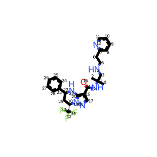 CC(C)(CNCCc1ccccn1)NC(=O)c1cnn2c1NC(c1ccccc1)C[C@H]2C(F)(F)F